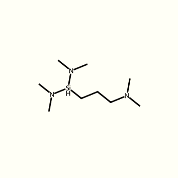 CN(C)CCC[SiH](N(C)C)N(C)C